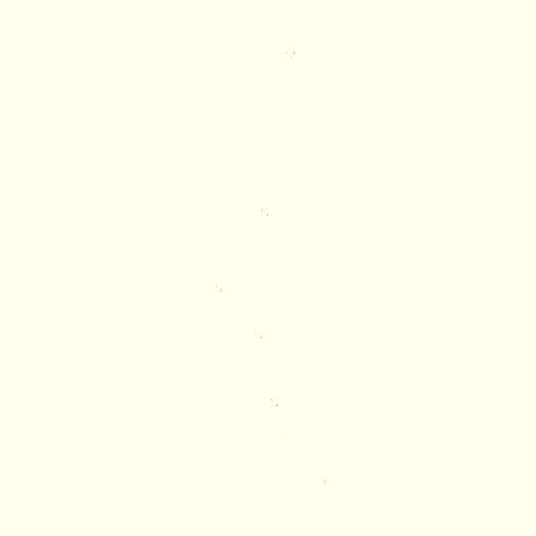 CSc1ccc(-c2ccc3nc(N4CCN(C(=O)OC(C)C)CC4)sc3n2)cc1